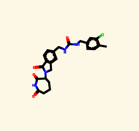 Cc1ccc(CNC(=O)NCc2ccc3c(c2)CN(C2CCCC(=O)NC2=O)C3=O)cc1Cl